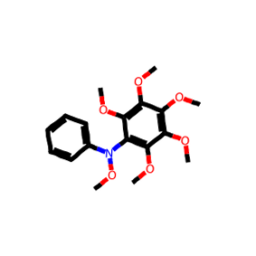 COc1c(OC)c(OC)c(N(OC)c2ccccc2)c(OC)c1OC